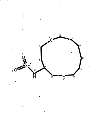 O=[SH](=O)NC1CCCCCCCCCCC1